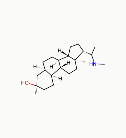 CNC(C)[C@H]1CC[C@H]2[C@@H]3CC[C@@H]4C[C@](C)(O)CC[C@@H]4[C@H]3CC[C@]12C